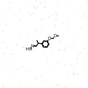 COCOc1cccc(C(C)C=NO)c1